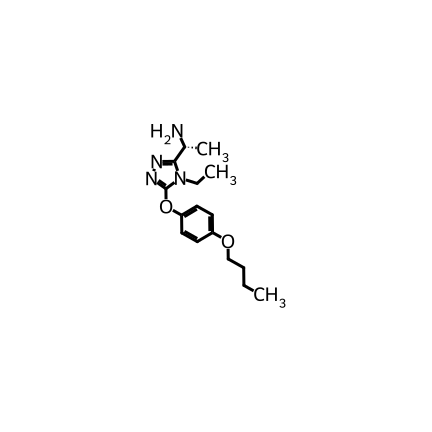 CCCCOc1ccc(Oc2nnc([C@@H](C)N)n2CC)cc1